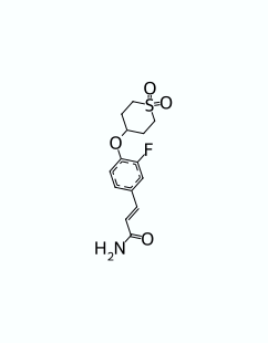 NC(=O)C=Cc1ccc(OC2CCS(=O)(=O)CC2)c(F)c1